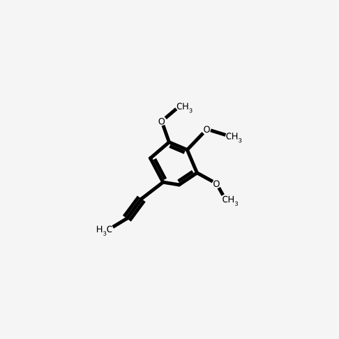 CC#Cc1cc(OC)c(OC)c(OC)c1